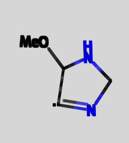 COC1[C]=NCN1